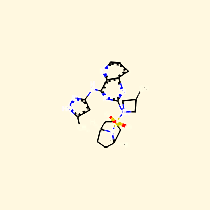 Cc1cc(Nc2nc(N[C@@H]3C[C@H]4CC[C@@H](C3)N4S(=O)(=O)N3CC(C#N)C3)nc3cccnc23)n[nH]1